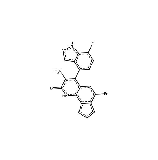 Nc1c(-c2ccc(F)c3[nH]ncc23)c2cc(Br)c3ccsc3c2[nH]c1=O